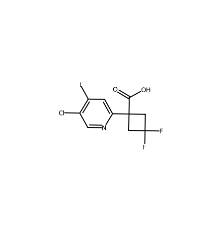 O=C(O)C1(c2cc(I)c(Cl)cn2)CC(F)(F)C1